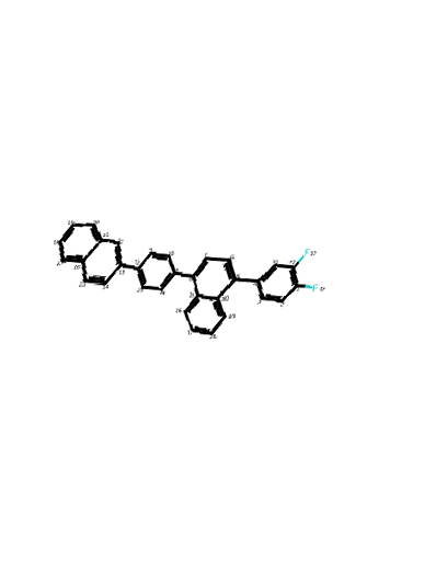 Fc1ccc(-c2ccc(-c3ccc(-c4ccc5ccccc5c4)cc3)c3ccccc23)cc1F